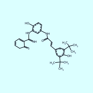 CC(C)(C)c1cc(C=CC(=O)Nc2ccc(O)c(NC(=N)C3=CC=CCC3=S)c2)cc(C(C)(C)C)c1O